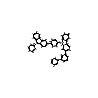 c1ccc(-c2cccc(-c3ccc4c5ccccc5n(-c5ccc(-c6ccc7c(c6)c6ccccc6n7-c6ccccc6)cc5)c4c3)c2)cc1